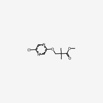 COC(=O)C(C)(C)COc1cnc(Cl)cn1